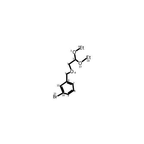 CCOC(COCc1cccc(Br)c1)OCC